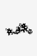 COc1ccc2ncc(CN3CCOCC3)c(C(F)CCC3(CC(=O)O)CCN(CCSc4c(F)cc(F)cc4F)CC3)c2c1